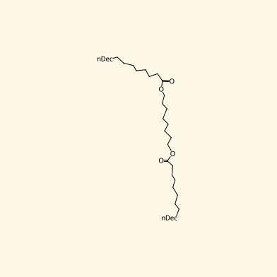 CCCCCCCCCCCCCCCCCC(=O)OCCCCCCCCOC(=O)CCCCCCCCCCCCCCCCC